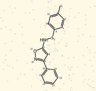 Cc1ccc(SNc2cc(-c3ccccc3)no2)cc1